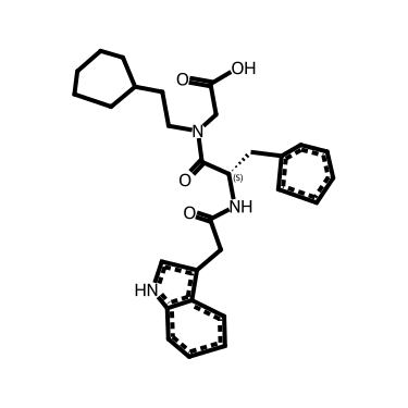 O=C(O)CN(CCC1CCCCC1)C(=O)[C@H](Cc1ccccc1)NC(=O)Cc1c[nH]c2ccccc12